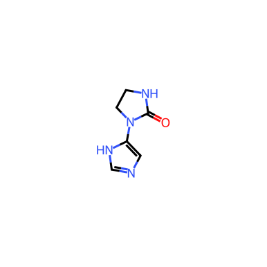 O=C1NCCN1c1cnc[nH]1